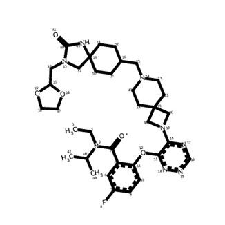 CCN(C(=O)c1cc(F)ccc1Oc1nncnc1N1CC2(CCN(CC3CCC4(CC3)CN(CC3OCCO3)C(=O)N4)CC2)C1)C(C)C